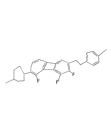 Cc1ccc(CCc2cc3c(c(F)c2F)-c2c-3ccc(C3CCC(C)CC3)c2F)cc1